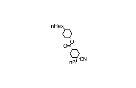 CCCCCC[C@H]1CC[C@H](OC(=O)[C@H]2CC[C@](C#N)(CCC)CC2)CC1